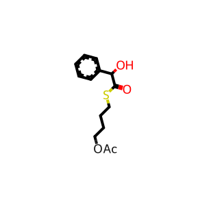 CC(=O)OCCCCSC(=O)C(O)c1ccccc1